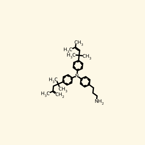 C=C(C)CC(C)(C)c1ccc(N(c2ccc(CCCN)cc2)c2ccc(C(C)(C)C=C(C)C)cc2)cc1